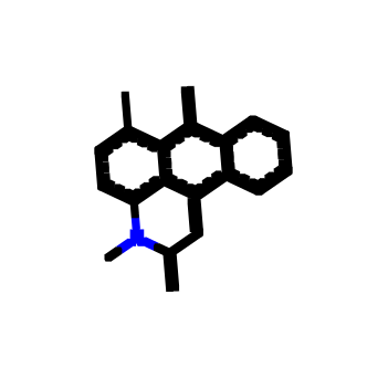 C=C1C=c2c3ccccc3c(=C)c3c(C)ccc(c23)N1C